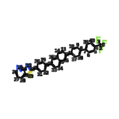 FC(F)(F)c1ccc(-c2ccc(-c3ccc4cc(-c5ccc(-c6nc7ncccc7s6)cc5)ccc4c3)cc2)cc1